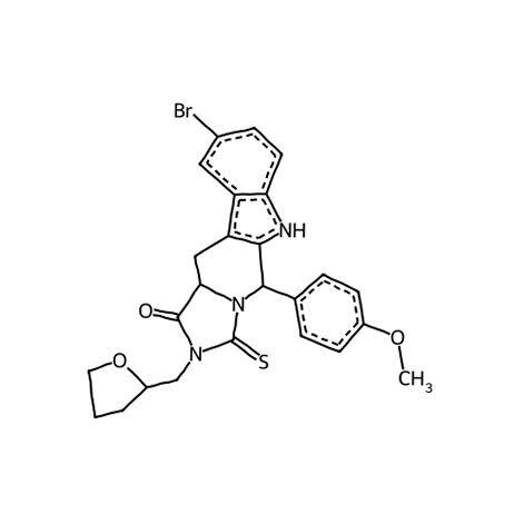 COc1ccc(C2c3[nH]c4ccc(Br)cc4c3CC3C(=O)N(CC4CCCO4)C(=S)N32)cc1